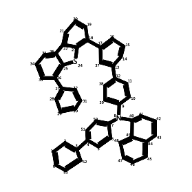 c1ccc(-c2ccc(N(c3ccc(-c4cccc(-c5cccc6c5sc5c(-c7ccccc7)cccc56)c4)cc3)c3cccc4ccccc34)cc2)cc1